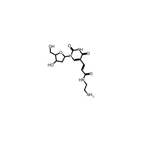 NCCNC(=O)/C=C/c1cn(C2CC(O)C(CO)O2)c(=O)[nH]c1=O